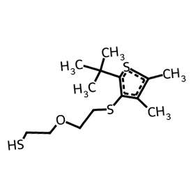 Cc1sc(C(C)(C)C)c(SCCOCCS)c1C